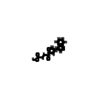 COC(=O)CCC(=O)c1cc(-c2cnc3ccccn23)co1